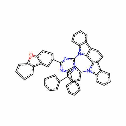 c1ccc(-c2ccc(-n3c4ccccc4c4ccc5c6ccccc6n(-c6nc(-c7ccccc7)nc(-c7ccc8oc9ccccc9c8c7)n6)c5c43)cc2)cc1